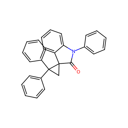 O=C1N(c2ccccc2)c2ccccc2C12CC2(c1ccccc1)c1ccccc1